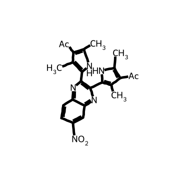 CC(=O)c1c(C)[nH]c(-c2nc3ccc([N+](=O)[O-])cc3nc2-c2[nH]c(C)c(C(C)=O)c2C)c1C